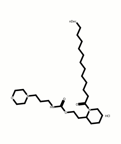 CCCCCCCCCCCCCCCCCCCCCC(=O)N1CCCCC1CCOC(=O)NCCCN1CCOCC1.Cl